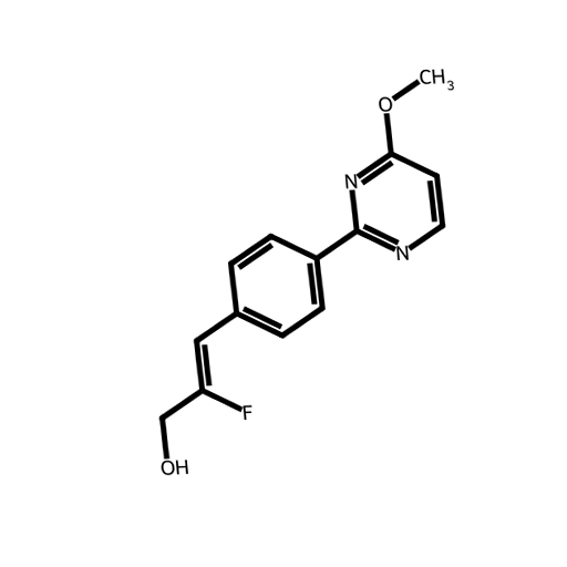 COc1ccnc(-c2ccc(/C=C(\F)CO)cc2)n1